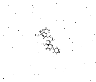 Cn1c(N2CCOC(C(=O)c3ccccc3S(C)(=O)=O)C2)nc(-c2ccncc2)cc1=O